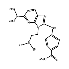 CCCCN(CCCC)c1ccc2nc(Nc3ccc(C(=O)OC)cc3)n(CCN(C(C)C)C(C)C)c2n1